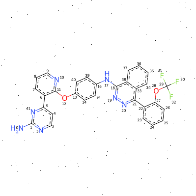 Nc1nccc(-c2cccnc2Oc2ccc(Nc3nnc(-c4ccccc4OC(F)(F)F)c4ccccc34)cc2)n1